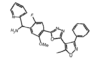 COc1cc(C(N)c2ccccn2)c(F)cc1-c1nnc(-c2c(-c3ccccc3)noc2C)o1